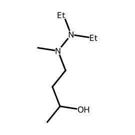 CCN(CC)N(C)CCC(C)O